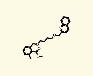 COC(=O)c1c(C)cccc1COCCCCOCc1ccc2ccccc2n1